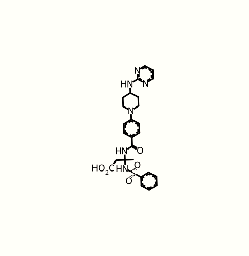 CC(CC(=O)O)(NC(=O)c1ccc(N2CCC(Nc3ncccn3)CC2)cc1)NS(=O)(=O)c1ccccc1